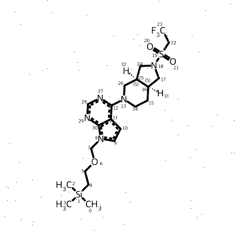 C[Si](C)(C)CCOCn1ccc2c(N3CC[C@@H]4CN(S(=O)(=O)CC(F)(F)F)C[C@@H]4C3)ncnc21